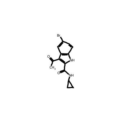 CC(=O)c1c(C(=O)NC2CC2)[nH]c2ccc(Br)cc12